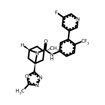 Cc1nnc([C@@]23C[C@@H](C)C[C@@H](C2)N3C(=O)Nc2ccc(C(F)(F)F)c(-c3cncc(F)c3)c2)o1